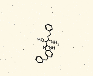 N[C@H](CCc1ccccc1)C(O)c1nc2cc(Cc3ccccc3)ccc2[nH]1